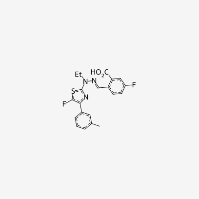 CCN(/N=C/c1ccc(F)cc1C(=O)O)c1nc(-c2cccc(C)c2)c(F)s1